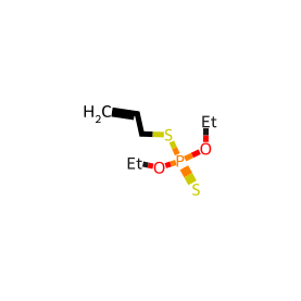 C=CCSP(=S)(OCC)OCC